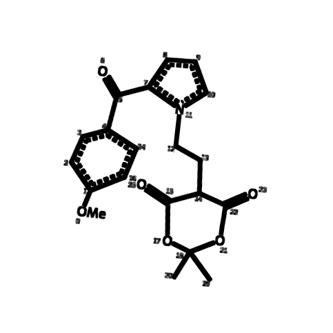 COc1ccc(C(=O)c2cccn2CCC2C(=O)OC(C)(C)OC2=O)cc1